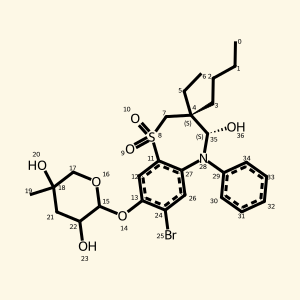 CCCC[C@]1(CC)CS(=O)(=O)c2cc(OC3OCC(C)(O)CC3O)c(Br)cc2N(c2ccccc2)[C@H]1O